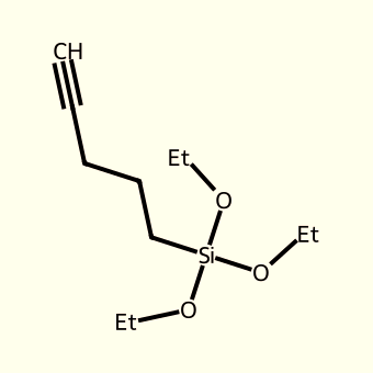 C#CCCC[Si](OCC)(OCC)OCC